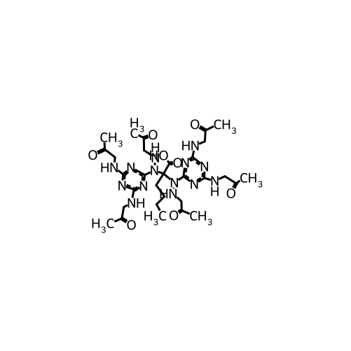 CCCCC(C(=O)O)(N(NCC(C)=O)c1nc(NCC(C)=O)nc(NCC(C)=O)n1)N(NCC(C)=O)c1nc(NCC(C)=O)nc(NCC(C)=O)n1